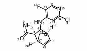 NC(=O)C1C(Nc2nc(Cl)ncc2F)[C@H]2C=C[C@@H]1C2